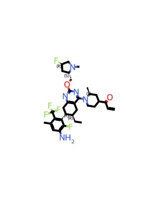 C=CC(=O)C1CCN(c2nc(OC[C@@H]3C[C@@H](F)CN3C)nc3c2C[C@@H](CC)[C@H](c2c(F)c(N)cc(C)c2C(F)(F)F)C3)[C@@H](C)C1